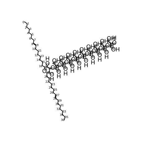 CCCCCCCCC=CCCCCCCCCOCCCCCCCCC=CCCCCCCCC.OCC(O)CO.OCC(O)CO.OCC(O)CO.OCC(O)CO.OCC(O)CO.OCC(O)CO.OCC(O)CO.OCC(O)CO.OCC(O)CO.OCC(O)CO